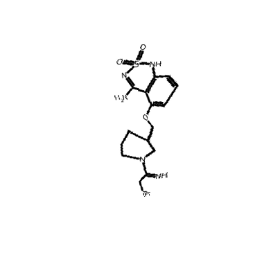 CC(C)CC(=N)N1CCCC(COc2cccc3c2C(N)=NS(=O)(=O)N3)C1